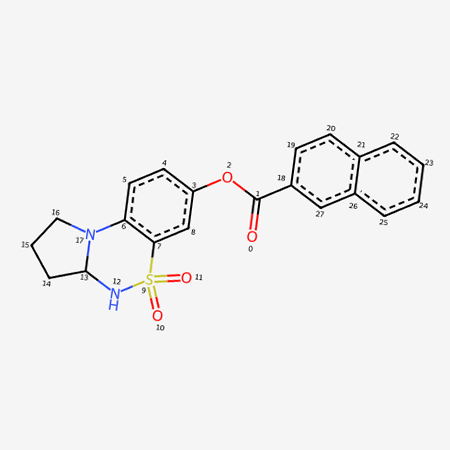 O=C(Oc1ccc2c(c1)S(=O)(=O)NC1CCCN21)c1ccc2ccccc2c1